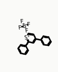 F[B-](F)(F)F.c1ccc(-c2cc[s+]c(-c3ccccc3)c2)cc1